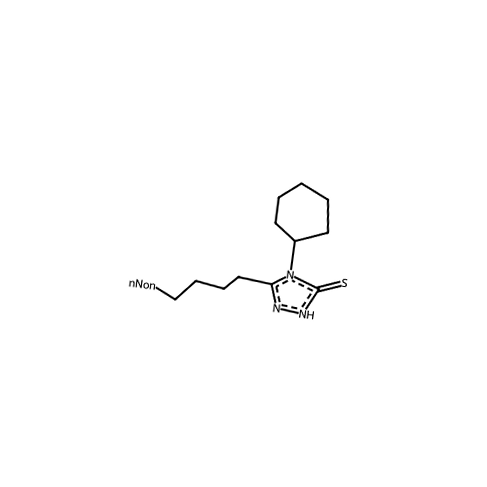 CCCCCCCCCCCCCc1n[nH]c(=S)n1C1CCCCC1